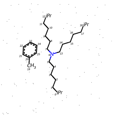 CC(C)CCCCCN(CCCCCC(C)C)CCCCCC(C)C.Cc1ccccc1